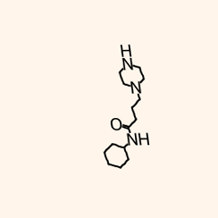 O=C(CCCN1CCNCC1)NC1CCCCC1